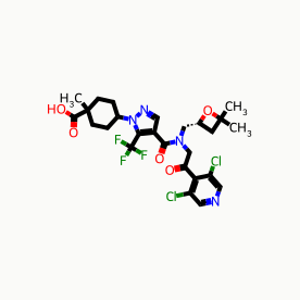 CC1(C)C[C@H](CN(CC(=O)c2c(Cl)cncc2Cl)C(=O)c2cnn(C3CCC(C)(C(=O)O)CC3)c2C(F)(F)F)O1